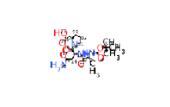 C[C@H](NC(=O)OC(C)(C)C)C(=O)N[C@@H](CC(N)=O)C(=O)N1CCC[C@H]1C(=O)O